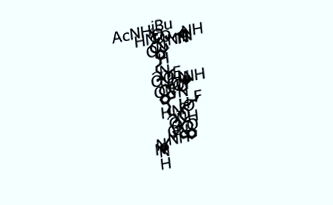 CC[C@H](C)[C@H](NC(C)=O)C(=O)N[C@H]1COc2cc(CC[C@H](C)[C@H](NC(=O)CF)C(=O)N[C@H]3COc4ccc(CC[C@H](C)[C@H](NC(=O)COCCF)C(=O)N[C@H]5COc6cccc7c6N(C5=O)[C@H](C(=O)NCc5c[nH]nn5)C7)c5c4N(C3=O)[C@H](C(=O)NCc3c[nH]nn3)C5)cc3c2N(C1=O)[C@H](C(=O)NCc1c[nH]nn1)C3